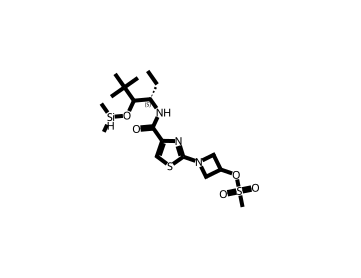 CC[C@H](NC(=O)c1csc(N2CC(OS(C)(=O)=O)C2)n1)C(O[SiH](C)C)C(C)(C)C